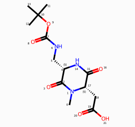 CN1C(=O)[C@H](CNC(=O)OC(C)(C)C)NC(=O)[C@@H]1CC(=O)O